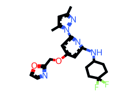 Cc1cc(C)n(-c2cc(OCc3ncco3)cc(NC3CCC(F)(F)CC3)n2)n1